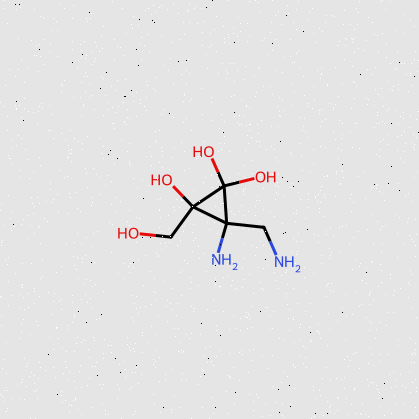 NCC1(N)C(O)(O)C1(O)CO